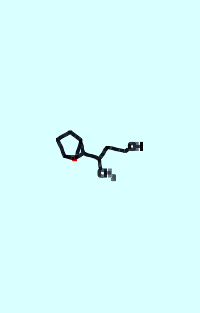 CC(CCO)C1CC2CCC1C2